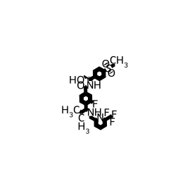 CCS(=O)(=O)c1ccc([C@H](CO)NC(=O)c2ccc(C(NCc3cccc(C(F)(F)F)n3)C(C)C)c(F)c2)cc1